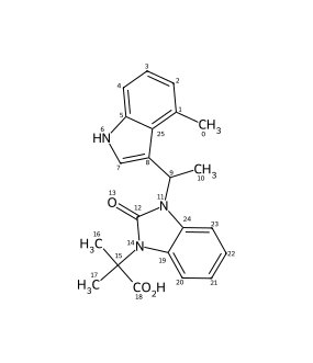 Cc1cccc2[nH]cc(C(C)n3c(=O)n(C(C)(C)C(=O)O)c4ccccc43)c12